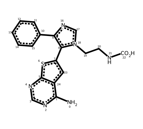 Nc1ncnc2sc(-c3c(-c4ccccc4)ncn3CCNC(=O)O)cc12